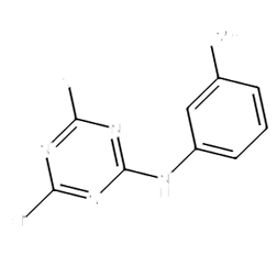 CSc1cccc(Nc2nc(Cl)nc(Cl)n2)c1